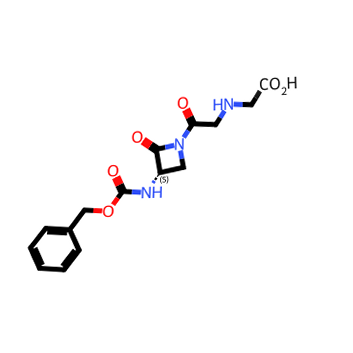 O=C(O)CNCC(=O)N1C[C@H](NC(=O)OCc2ccccc2)C1=O